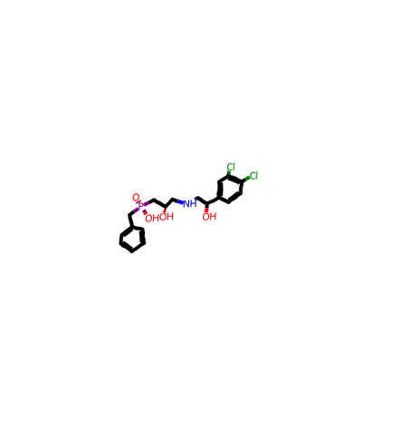 O=P(O)(Cc1ccccc1)C[C@H](O)CNCC(O)c1ccc(Cl)c(Cl)c1